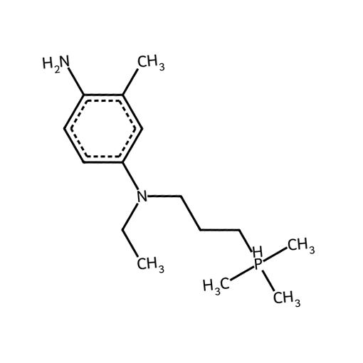 CCN(CCC[PH](C)(C)C)c1ccc(N)c(C)c1